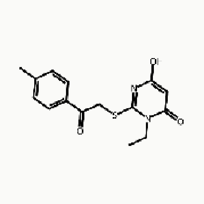 CCn1c(SCC(=O)c2ccc(C)cc2)nc(O)cc1=O